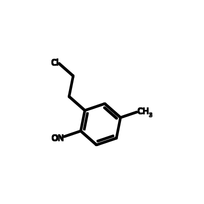 Cc1ccc(N=O)c(CCCl)c1